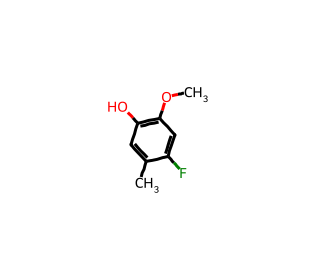 COc1cc(F)c(C)cc1O